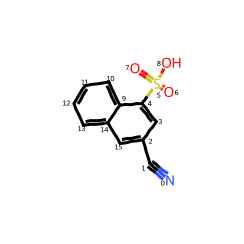 N#Cc1cc(S(=O)(=O)O)c2ccccc2c1